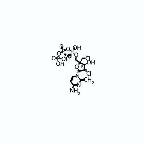 C=C1N=C(N)C=CN1[C@@H]1O[C@](CCl)(COP(=O)(O)OP(=O)(O)OP(=O)(O)O)[C@@H](O)[C@H]1Cl